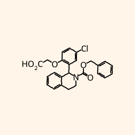 O=C(O)COc1ccc(Cl)cc1C1c2ccccc2CCN1C(=O)OCc1ccccc1